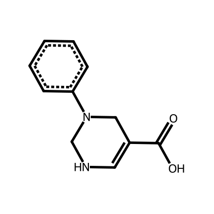 O=C(O)C1=CNCN(c2ccccc2)C1